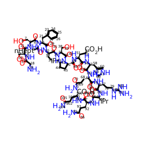 CCCCCCCC(=O)N(C(=O)[C@H](CO)NC(=O)[C@H](CO)NC(=O)CN)[C@@H](Cc1ccccc1)C(=O)N[C@@H](CC(C)C)C(=O)N[C@@H](CO)C(=O)N1CCC[C@H]1C(=O)N[C@@H](CCC(=O)O)C(=O)N[C@@H](Cc1c[nH]cn1)C(=O)N[C@@H](CCC(N)=O)C(=O)N[C@@H](CCCNC(=N)N)C(=O)N[C@H](C(=O)N[C@@H](CCC(N)=O)C(=O)N[C@@H](CCC(N)=O)C(=O)O)C(C)C